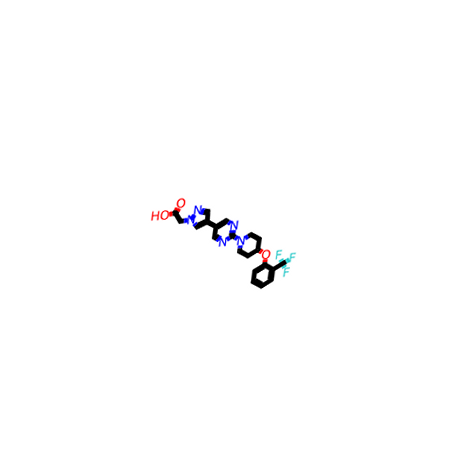 O=C(O)Cn1cc(-c2cnc(N3CCC(Oc4ccccc4C(F)(F)F)CC3)nc2)cn1